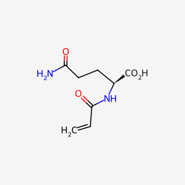 C=CC(=O)N[C@@H](CCC(N)=O)C(=O)O